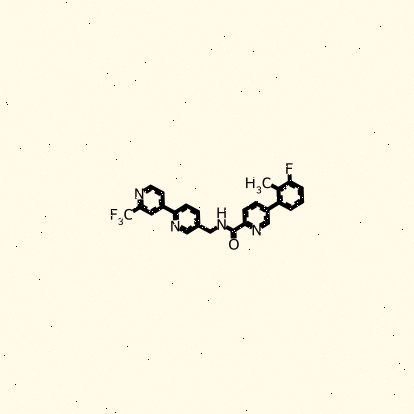 Cc1c(F)cccc1-c1ccc(C(=O)NCc2ccc(-c3ccnc(C(F)(F)F)c3)nc2)nc1